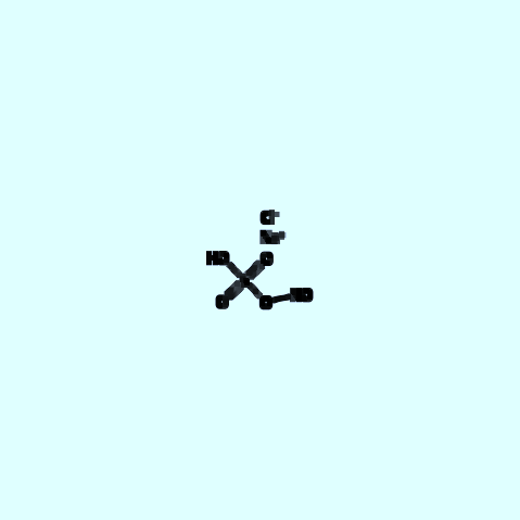 O=NOS(=O)(=O)O.[Cl-].[Na+]